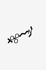 CCN(CC)CCCCOC(=O)OC(C)(C)C